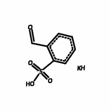 O=Cc1ccccc1S(=O)(=O)O.[KH]